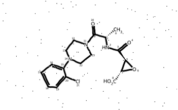 C[C@H](NC(=O)[C@H]1O[C@@H]1C(=O)O)C(=O)N1CCN(c2ccccc2Cl)CC1